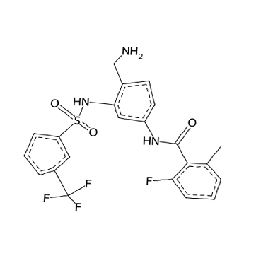 Cc1cccc(F)c1C(=O)Nc1ccc(CN)c(NS(=O)(=O)c2cccc(C(F)(F)F)c2)c1